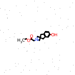 CCOC(=O)CN1CC2(Cc3ccc(O)cc3C2)C1